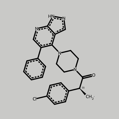 [CH2][C@H](C(=O)N1CCN(c2c(-c3ccccc3)cnc3[nH]ncc23)CC1)c1ccc(Cl)cc1